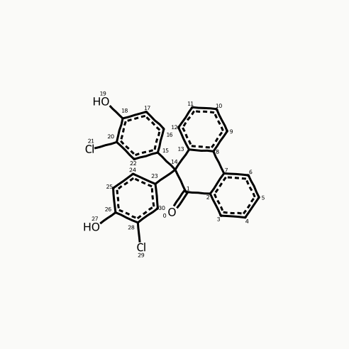 O=C1c2ccccc2-c2ccccc2C1(c1ccc(O)c(Cl)c1)c1ccc(O)c(Cl)c1